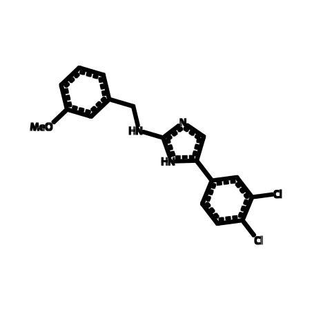 COc1cccc(CNc2ncc(-c3ccc(Cl)c(Cl)c3)[nH]2)c1